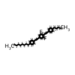 CCCCCCCCCc1ccc(C#Cc2cc(F)c(C#Cc3ccc(CCCCC)cc3)c(F)c2)cc1